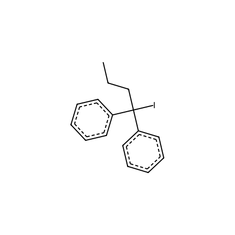 CCCC(I)(c1ccccc1)c1ccccc1